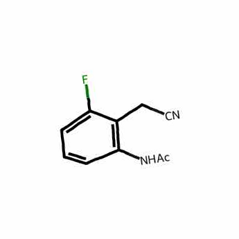 CC(=O)Nc1cccc(F)c1CC#N